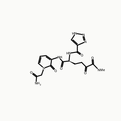 CNC(=O)C(=O)CC[C@H](NC(=O)c1c[nH]nn1)C(=O)Nc1cccn(CC(N)=O)c1=O